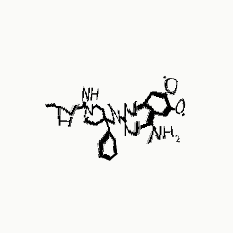 CCNC(=N)N1CCC(CN(C)c2nc(N)c3cc(OC)c(OC)cc3n2)(c2ccccc2)CC1